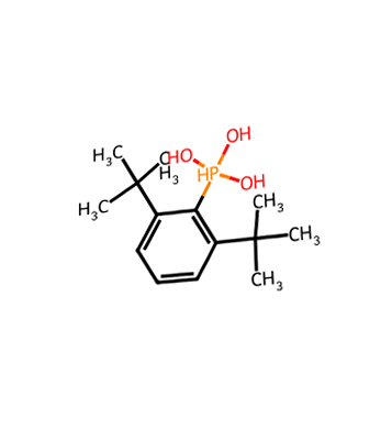 CC(C)(C)c1cccc(C(C)(C)C)c1[PH](O)(O)O